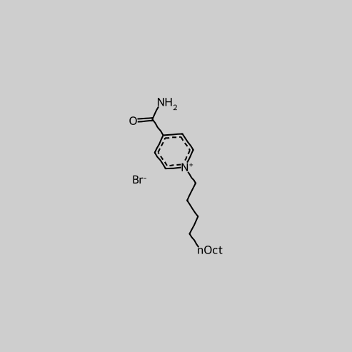 CCCCCCCCCCCC[n+]1ccc(C(N)=O)cc1.[Br-]